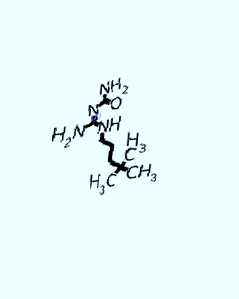 CC(C)(C)CCCN/C(N)=N\C(N)=O